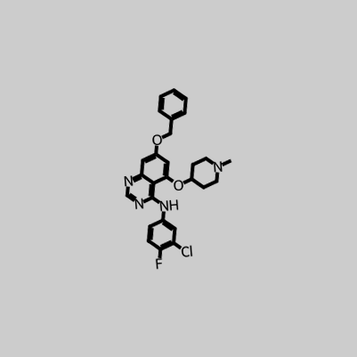 CN1CCC(Oc2cc(OCc3ccccc3)cc3ncnc(Nc4ccc(F)c(Cl)c4)c23)CC1